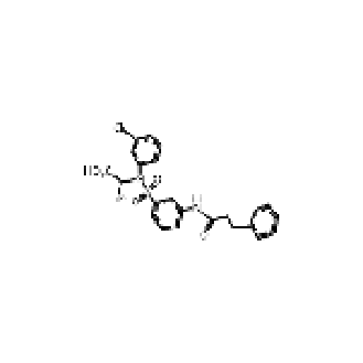 CC(C)C(C(=O)O)N(c1cccc(Cl)c1)S(=O)(=O)c1cccc(NC(=O)CCc2ccccc2)c1